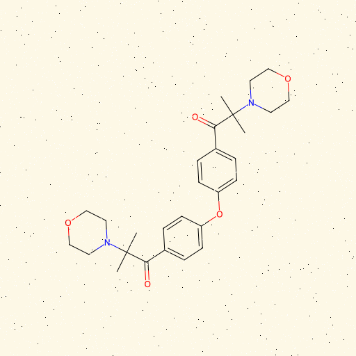 CC(C)(C(=O)c1ccc(Oc2ccc(C(=O)C(C)(C)N3CCOCC3)cc2)cc1)N1CCOCC1